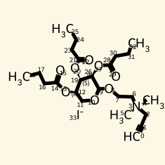 C#CC[N+](C)(C)CCOC1OC[C@@H](OC(=O)CCC)[C@H](OC(=O)CCC)[C@H]1OC(=O)CCC.[I-]